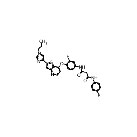 CCCn1cnc(-c2cc3nccc(Oc4ccc(NC(=O)CC(=O)Nc5ccc(F)cc5)cc4F)c3s2)c1